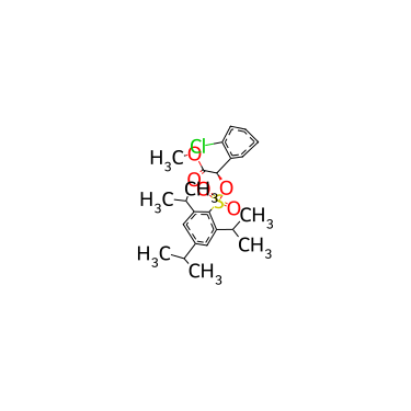 COC(=O)[C@H](OS(=O)(=O)c1c(C(C)C)cc(C(C)C)cc1C(C)C)c1ccccc1Cl